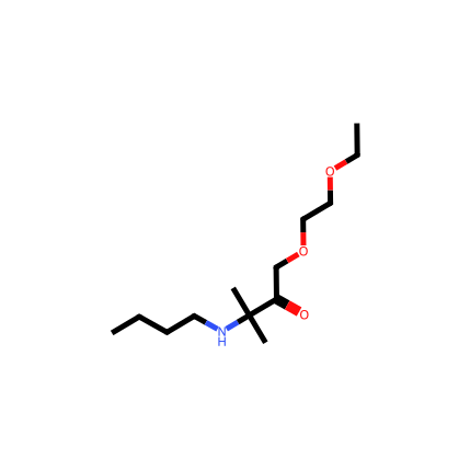 CCCCNC(C)(C)C(=O)COCCOCC